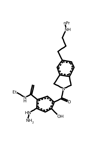 C=C(NCC)c1cc(C(=O)N2Cc3ccc(CCCNCCC)cc3C2)c(O)cc1NN